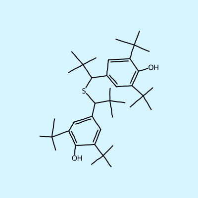 CC(C)(C)c1cc(C(SC(c2cc(C(C)(C)C)c(O)c(C(C)(C)C)c2)C(C)(C)C)C(C)(C)C)cc(C(C)(C)C)c1O